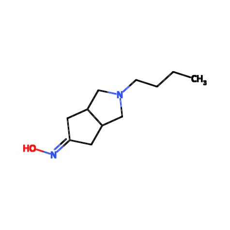 CCCCN1CC2CC(=NO)CC2C1